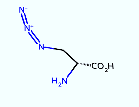 [N-]=[N+]=NC[C@@H](N)C(=O)O